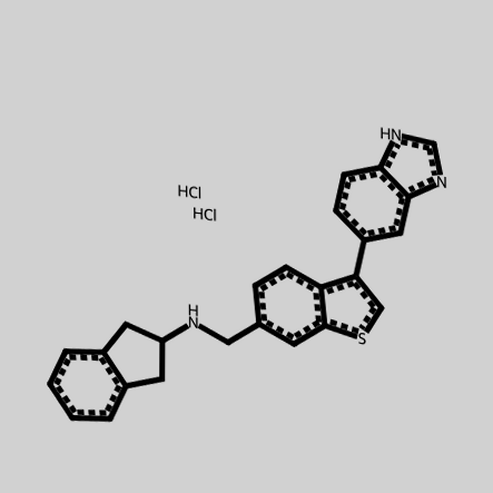 Cl.Cl.c1ccc2c(c1)CC(NCc1ccc3c(-c4ccc5[nH]cnc5c4)csc3c1)C2